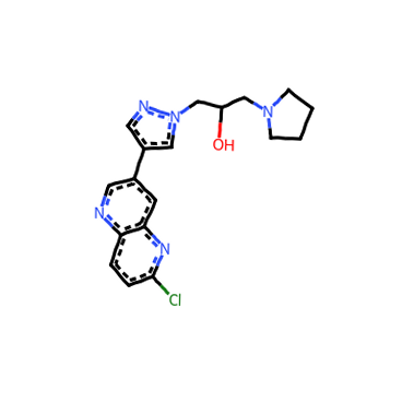 OC(CN1CCCC1)Cn1cc(-c2cnc3ccc(Cl)nc3c2)cn1